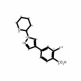 O=C(O)c1ccc(-c2cnn(C3CCCCO3)c2)cc1F